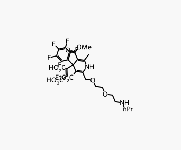 CCCNCCOCCOCC1=C(C(=O)OCC)C(/C(=C/C(=O)O)C(=O)O)(c2c(F)c(F)c(F)c(F)c2F)C(C(=O)OC)=C(C)N1